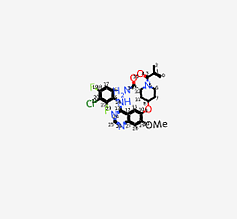 C=C(C)C(=O)N1CC[C@@H](Oc2cc3c(Nc4ccc(F)c(Cl)c4F)ncnc3cc2OC)C[C@@H]1C(N)=O